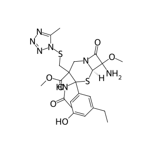 CCc1cc(O)cc(C2(NC(C)=O)S[C@H]3N(CC2(CSn2nnnc2C)C(=O)OC)C(=O)C3(N)OC)c1